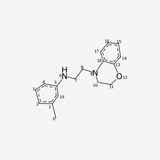 Cc1cccc(NCCN2CCOc3ccccc32)c1